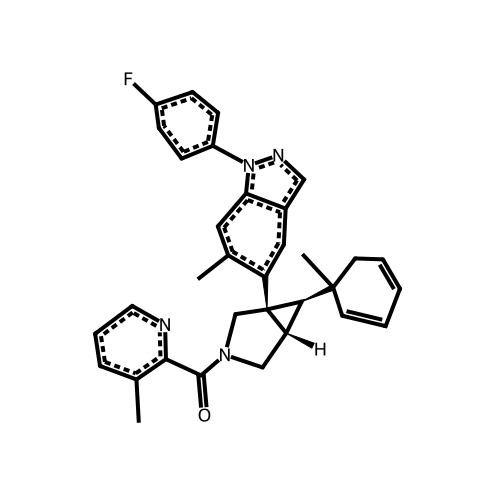 Cc1cc2c(cnn2-c2ccc(F)cc2)cc1[C@]12CN(C(=O)c3ncccc3C)C[C@H]1[C@@H]2C1(C)C=CC=CC1